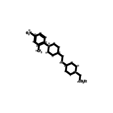 CCOC(=O)CN1CCC(OCC2CCN(c3ccc([N+](=O)[O-])cc3C(F)(F)F)CC2)CC1